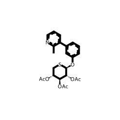 CC(=O)O[C@@H]1[C@@H](OC(C)=O)[C@H](OC(C)=O)CS[C@H]1Oc1cccc(-c2cccnc2C)c1